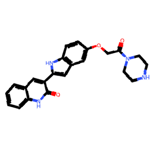 O=C(COc1ccc2[nH]c(-c3cc4ccccc4[nH]c3=O)cc2c1)N1CCNCC1